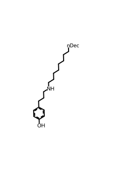 CCCCCCCCCCCCCCCCCCNCCCc1ccc(O)cc1